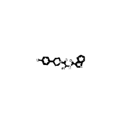 CC(C)C(NC(=O)c1csc2ccccc12)C(=O)N1CCC(c2ccc(Cl)cc2)CC1